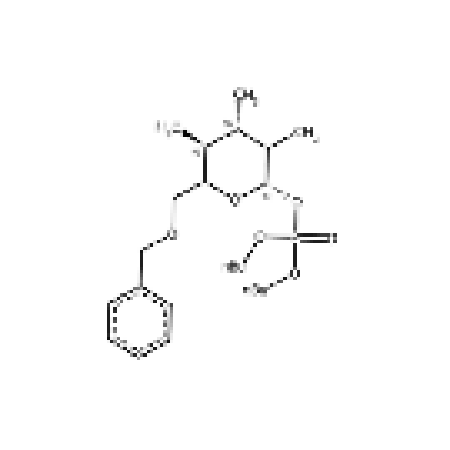 CCCCOP(=O)(OCCCC)O[C@@H]1OC(COCc2ccccc2)[C@@H](C)[C@H](C)C1C